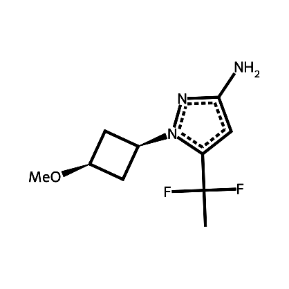 CO[C@H]1C[C@@H](n2nc(N)cc2C(C)(F)F)C1